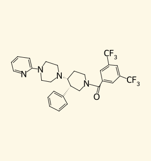 O=C(c1cc(C(F)(F)F)cc(C(F)(F)F)c1)N1CC[C@@H](N2CCN(c3ccccn3)CC2)[C@@H](c2ccccc2)C1